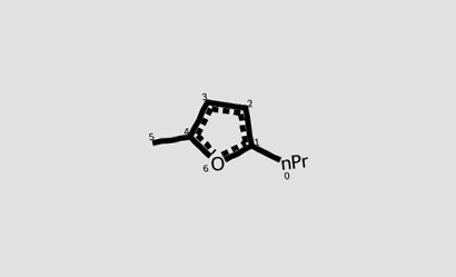 [CH2]CCc1ccc(C)o1